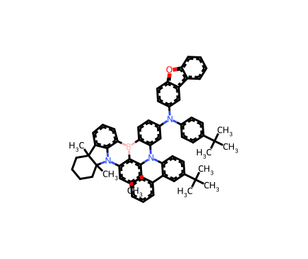 Cc1cc2c3c(c1)N1c4c(cccc4C4(C)CCCCC14C)B3c1ccc(N(c3ccc(C(C)(C)C)cc3)c3ccc4oc5ccccc5c4c3)cc1N2c1ccc(C(C)(C)C)cc1-c1ccccc1